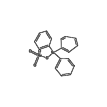 [O]=[Re](=[O])(=[O])[O][Si](c1ccccc1)(c1ccccc1)c1ccccc1